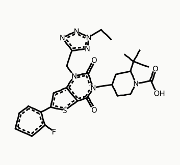 CCn1nnc(Cn2c(=O)n(C3CCN(C(=O)O)C(C(C)(C)C)C3)c(=O)c3sc(-c4ccccc4F)cc32)n1